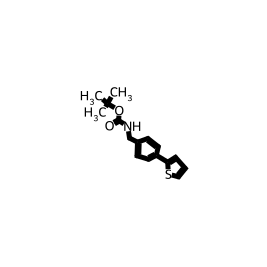 CC(C)(C)OC(=O)NCc1ccc(-c2cccs2)cc1